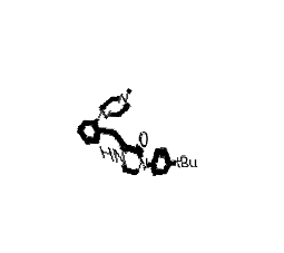 CN1CCN(c2ccccc2CC2NCCN(c3ccc(C(C)(C)C)cc3)C2=O)CC1